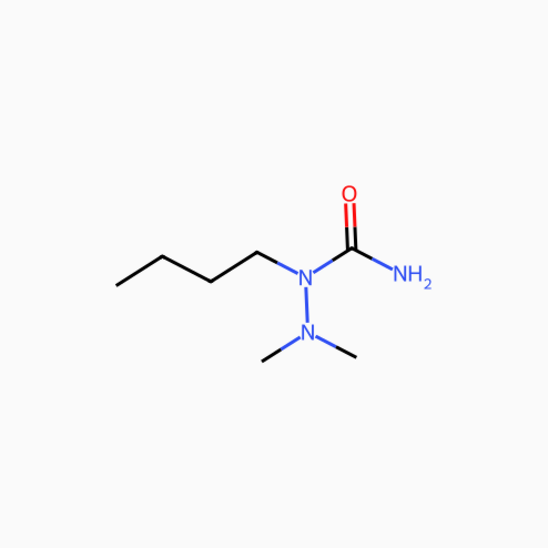 CCCCN(C(N)=O)N(C)C